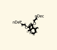 CCCCCCCCCCCCOC(=O)C1C(C)=CC=NC1(C)C(=O)OCCCCCCCCCCCC